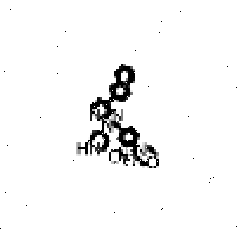 O=[N+]([O-])c1cc(-c2nc3c(-c4ccc5ccccc5c4)ccnc3n2C2CCNCC2)ccc1N1CCOCC1